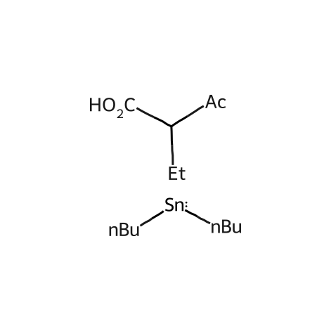 CCC(C(C)=O)C(=O)O.CCC[CH2][Sn][CH2]CCC